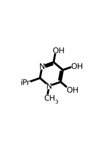 CC(C)C1N=C(O)C(O)=C(O)N1C